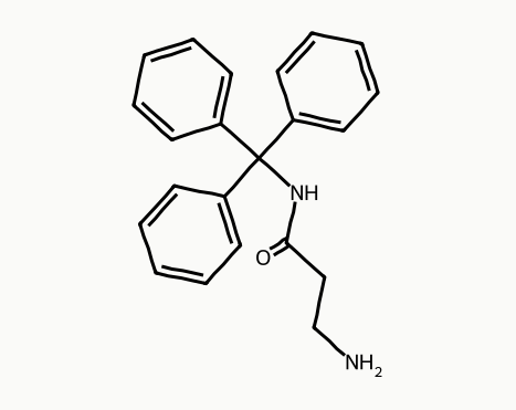 NCCC(=O)NC(c1ccccc1)(c1ccccc1)c1ccccc1